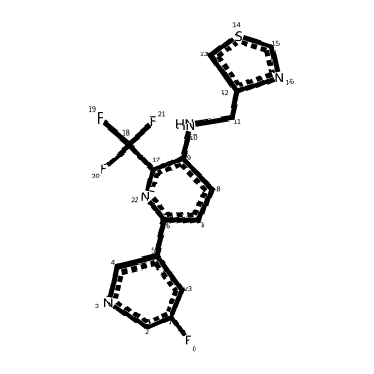 Fc1cncc(-c2ccc(NCc3cscn3)c(C(F)(F)F)n2)c1